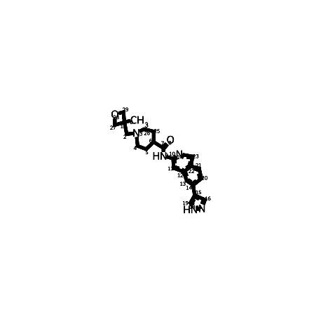 CC1(CN2CCC(C(=O)Nc3cc4cc(-c5cn[nH]c5)ccc4cn3)CC2)COC1